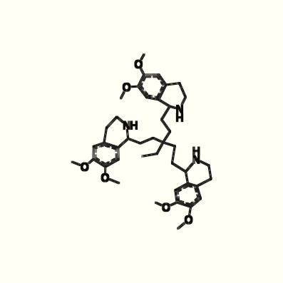 CCC(CCC1NCCc2cc(OC)c(OC)cc21)(CCC1NCCc2cc(OC)c(OC)cc21)CCC1NCCc2cc(OC)c(OC)cc21